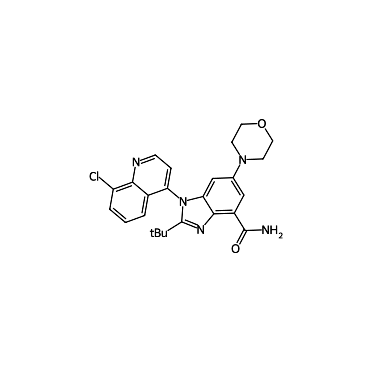 CC(C)(C)c1nc2c(C(N)=O)cc(N3CCOCC3)cc2n1-c1ccnc2c(Cl)cccc12